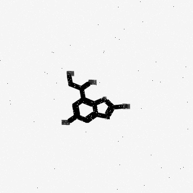 Oc1cc(C(O)CS)c2sc(O)nc2c1